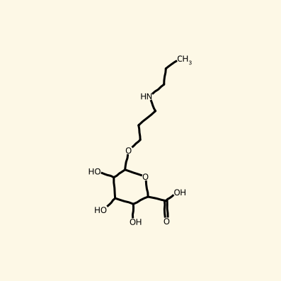 CCCNCCCOC1OC(C(=O)O)C(O)C(O)C1O